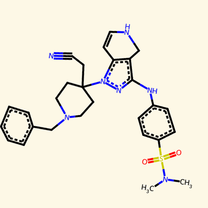 CN(C)S(=O)(=O)c1ccc(Nc2nn(C3(CC#N)CCN(Cc4ccccc4)CC3)c3c2CNC=C3)cc1